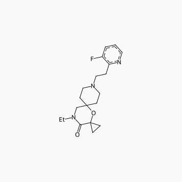 CCN1CC2(CCN(CCc3ncccc3F)CC2)OC2(CC2)C1=O